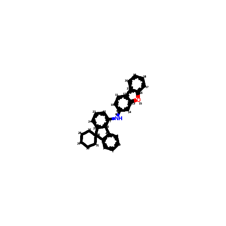 c1ccc2c(c1)-c1c(Nc3ccc4c(c3)oc3ccccc34)cccc1C21CCCCC1